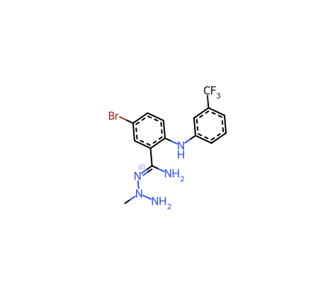 CN(N)/N=C(\N)c1cc(Br)ccc1Nc1cccc(C(F)(F)F)c1